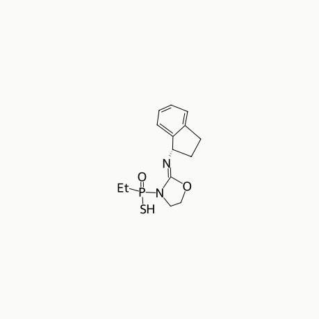 CCP(=O)(S)N1CCO/C1=N\[C@H]1CCc2ccccc21